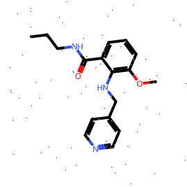 CCCNC(=O)c1cccc(OC)c1NCc1ccncc1